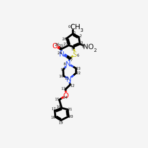 Cc1cc([N+](=O)[O-])c2sc(N3CCN(CCOCc4ccccc4)CC3)nc(=O)c2c1